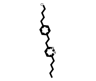 CCCCCc1ccc(CCc2ccc(CCCCCl)cc2)nn1